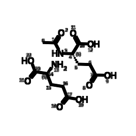 CC(=O)N[C@@H](CCC(=O)O)C(=O)O.N[C@@H](CCC(=O)O)C(=O)O